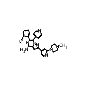 CN1CCN(c2cc(-c3cc4c(N)nc(-c5ccccc5C#N)c(-c5ccncc5)n4n3)ccn2)CC1